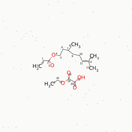 C=CC(=O)OCCC(C)CCC=C(C)C.CCOC(=O)C(=O)O